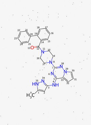 Cc1cc(Nc2nc(N3CCN(C(=O)c4ccccc4-c4ccccc4)CC3)nn3cccc23)n[nH]1